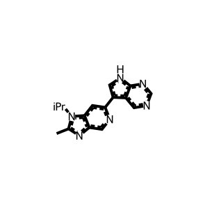 Cc1nc2cnc(-c3c[nH]c4ncncc34)cc2n1C(C)C